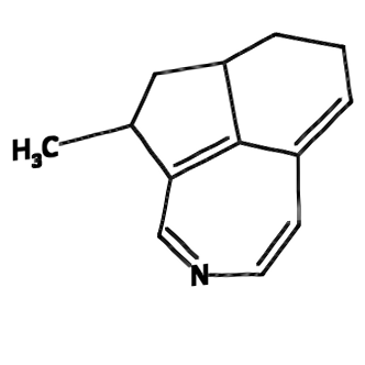 CC1CC2CCC=C3C=CN=CC1=C32